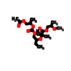 CCC(COC(=O)OC(C)COC(C)=O)OC(C)(C)C(=O)OCC(C)OC